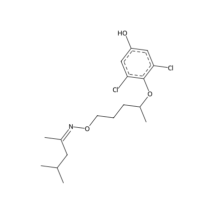 CC(CC(C)C)=NOCCCC(C)Oc1c(Cl)cc(O)cc1Cl